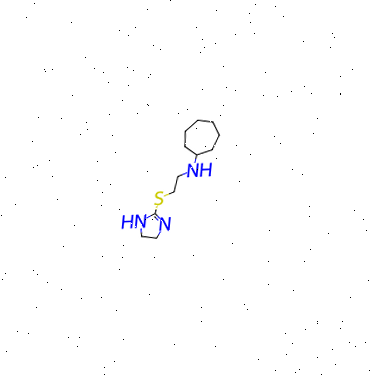 C1CCCC(NCCSC2=NCCN2)CC1